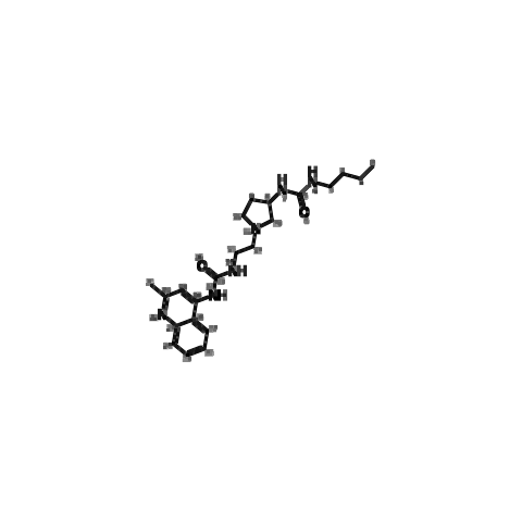 CCCCNC(=O)NC1CCN(CCNC(=O)Nc2cc(C)nc3ccccc23)C1